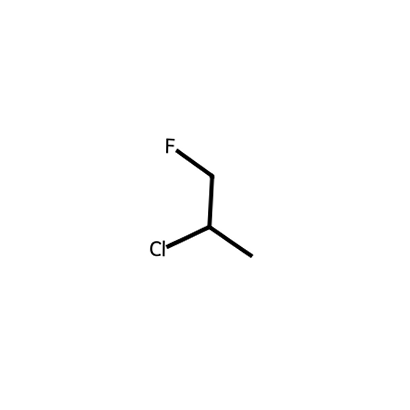 CC(Cl)CF